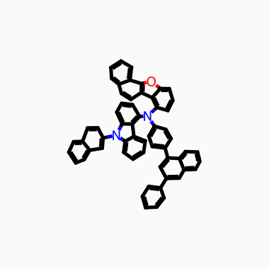 c1ccc(-c2cc(-c3ccc(N(c4cccc5oc6c7ccccc7ccc6c45)c4cccc5c4c4ccccc4n5-c4ccc5ccccc5c4)cc3)c3ccccc3c2)cc1